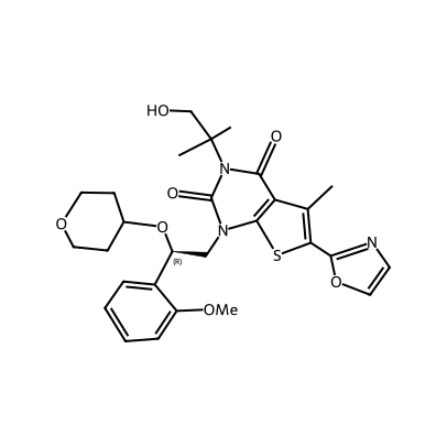 COc1ccccc1[C@H](Cn1c(=O)n(C(C)(C)CO)c(=O)c2c(C)c(-c3ncco3)sc21)OC1CCOCC1